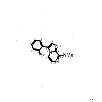 CNc1nccn2c(-c3ccccc3C(F)(F)F)cnc12